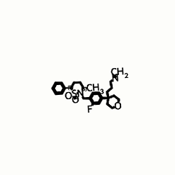 C=NCCCC1(c2ccc(CN3[C@@H](C)CC[C@H](c4ccccc4)S3(=O)=O)c(F)c2)CCOCC1